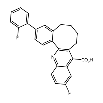 O=C(O)c1c2c(nc3ccc(F)cc13)-c1ccc(-c3ccccc3F)cc1CCCC2